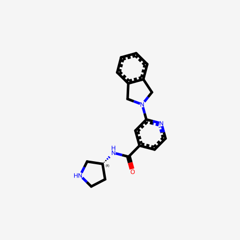 O=C(N[C@@H]1CCNC1)c1ccnc(N2Cc3ccccc3C2)c1